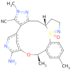 Cc1ccc2c(c1)[C@@H](C)Oc1cc(cnc1N)-c1c(nn(C)c1C#N)C[C@@H]1CCN=S21=O